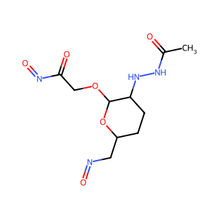 CC(=O)NNC1CCC(CN=O)OC1OCC(=O)N=O